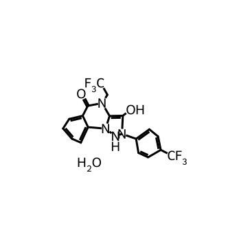 O.O=C1c2ccccc2N2NN(c3ccc(C(F)(F)F)cc3)C(O)=C2N1CC(F)(F)F